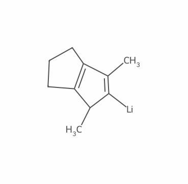 [Li][C]1=C(C)C2=C(CCC2)C1C